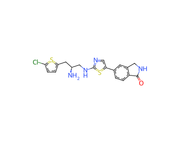 N[C@H](CNc1ncc(-c2ccc3c(c2)CNC3=O)s1)Cc1ccc(Cl)s1